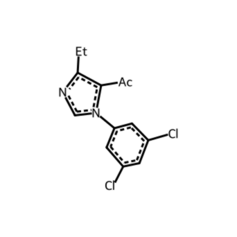 CCc1ncn(-c2cc(Cl)cc(Cl)c2)c1C(C)=O